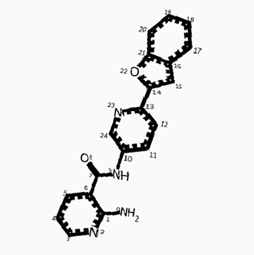 Nc1ncccc1C(=O)Nc1ccc(-c2cc3ccccc3o2)nc1